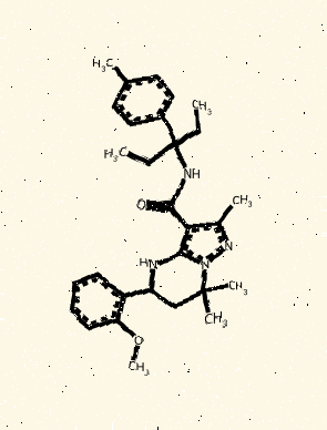 CCC(CC)(NC(=O)c1c(C)nn2c1NC(c1ccccc1OC)CC2(C)C)c1ccc(C)cc1